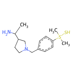 CC(N)C1CCN(Cc2ccc(S(C)(C)S)cc2)C1